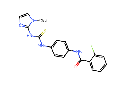 CC(C)(C)n1ccnc1NC(=S)Nc1ccc(NC(=O)c2ccccc2F)cc1